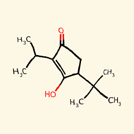 CC(C)C1=C(O)C(C(C)(C)C)CC1=O